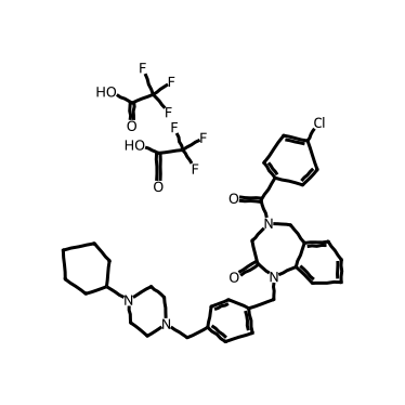 O=C(O)C(F)(F)F.O=C(O)C(F)(F)F.O=C(c1ccc(Cl)cc1)N1CC(=O)N(Cc2ccc(CN3CCN(C4CCCCC4)CC3)cc2)c2ccccc2C1